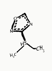 C[SH](C)c1ncon1